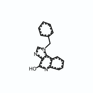 Oc1nc2ccccc2c2c1ncn2Cc1ccccc1